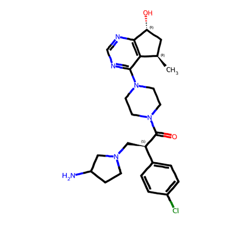 C[C@@H]1C[C@@H](O)c2ncnc(N3CCN(C(=O)[C@H](CN4CCC(N)C4)c4ccc(Cl)cc4)CC3)c21